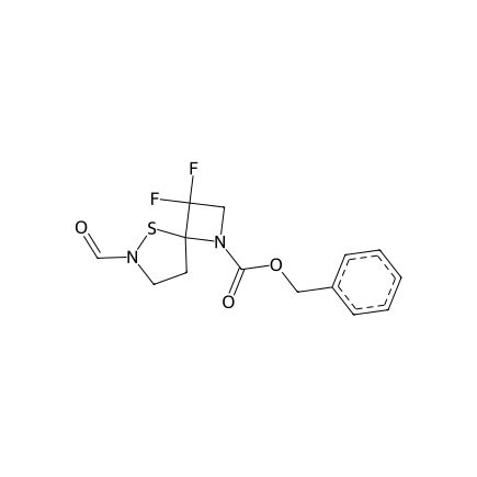 O=CN1CCC2(S1)N(C(=O)OCc1ccccc1)CC2(F)F